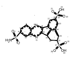 NS(=O)(=O)c1ccc2nc3c(nc2c1)C1=c2c-3cc(S(=O)(=O)O)cc2=CC(S(=O)(=O)O)C1